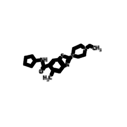 CCN1CCN(c2nc3cc(C)c(C(=O)NC4CCCC4)cc3s2)CC1